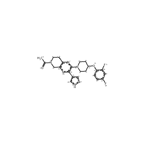 CC(=O)N1CCc2nc(N3CCC(Oc4ccc(F)cc4F)CC3)c(-c3cn[nH]c3)nc2C1